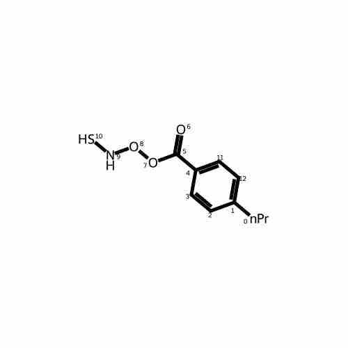 CCCc1ccc(C(=O)OONS)cc1